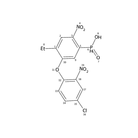 CCc1cc([N+](=O)[O-])c([PH](=O)O)cc1Oc1ccc(Cl)cc1[N+](=O)[O-]